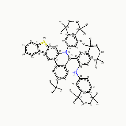 CC(C)(C)c1cc2c3c(c1)N(c1ccc4c(c1)C(C)(C)CCC4(C)C)c1cc4c(cc1B3N(c1ccc3c(c1)C(C)(C)CCC3(C)C)c1cc3sc5ccccc5c3cc1-2)C(C)(C)CCC4(C)C